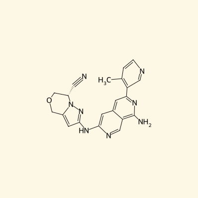 Cc1ccncc1-c1cc2cc(Nc3cc4n(n3)[C@@H](C#N)COC4)ncc2c(N)n1